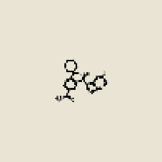 NC(=O)c1ccc(C2(S(=O)(=O)O)CCCCC2)c(C(=O)c2c[nH]c3ncc(F)cc23)c1